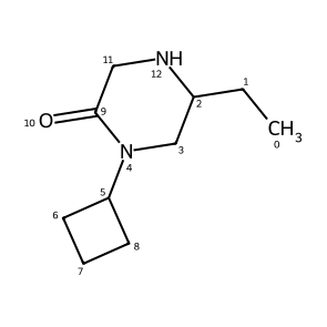 CCC1CN(C2CCC2)C(=O)CN1